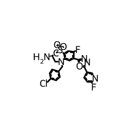 N[C@@H]1CN(Cc2ccc(Cl)cc2)c2cc(-c3nnc(-c4ccc(F)nc4)o3)c(F)cc2S(=O)(=O)C1